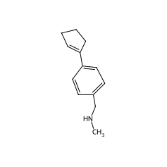 CNCc1ccc(C2=CCCC2)cc1